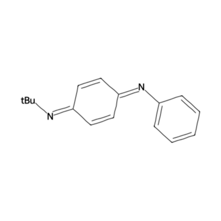 CC(C)(C)N=C1C=CC(=Nc2ccccc2)C=C1